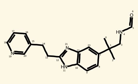 CC(C)(CNC=O)c1ccc2[nH]c(CCc3cccnc3)nc2c1